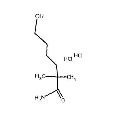 CC(C)(CCCCO)C(N)=O.Cl.Cl